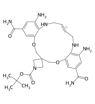 CC(C)(C)OC(=O)N1CC2(COc3cc(C(N)=O)cc(N)c3NC/C=C/CNc3c(N)cc(C(N)=O)cc3OC2)C1